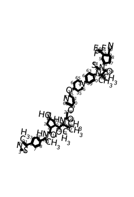 Cc1ncsc1-c1ccc([C@H](C)NC(=O)C2C[C@@H](O)CC2C(=O)[C@@H](NC(=O)COc2ccc(OC3CCN(c4ccc(N5C(=S)N(c6ccc(C#N)c(C(F)(F)F)c6)C(=O)C5(C)C)cc4)CC3)nc2)C(C)(C)C)cc1